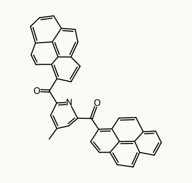 Cc1cc(C(=O)c2ccc3ccc4cccc5ccc2c3c45)nc(C(=O)c2ccc3ccc4cccc5ccc2c3c45)c1